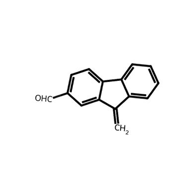 C=C1c2ccccc2-c2ccc(C=O)cc21